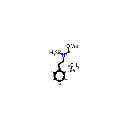 CC(C)C.COCN([SiH3])CCc1ccccc1